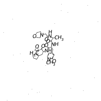 CC(NC(=O)CN1CCOCC1)C(=O)NC(Cc1ccn(C)c(=O)c1)C(=O)NC(CC1=CCCC1)C(=O)C1(C)CO1